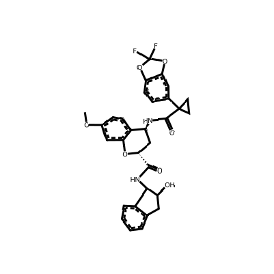 COc1ccc2c(c1)O[C@@H](C(=O)NC1c3ccccc3CC1O)C[C@@H]2NC(=O)C1(c2ccc3c(c2)OC(F)(F)O3)CC1